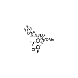 [2H]C([2H])=C([2H])C(=O)N1[C@H](C)CN(c2nc(=O)n3c4c(c(-c5cc(Cl)c(F)cc5F)c(C(F)(F)F)cc24)SC[C@@H]3COC)C[C@@H]1C